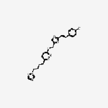 Clc1ccc(/C=C/c2nc(COc3ccc(CCCCn4cncn4)nn3)co2)cc1